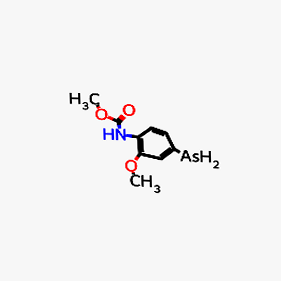 COC(=O)Nc1ccc([AsH2])cc1OC